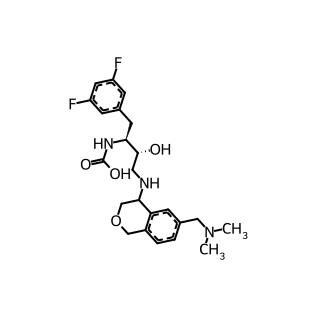 CN(C)Cc1ccc2c(c1)C(NC[C@@H](O)[C@H](Cc1cc(F)cc(F)c1)NC(=O)O)COC2